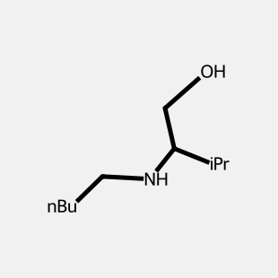 CCCCCNC(CO)C(C)C